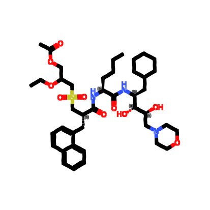 CCCC[C@H](NC(=O)[C@H](Cc1cccc2ccccc12)CS(=O)(=O)CC(COC(C)=O)OCC)C(=O)N[C@@H](CC1CCCCC1)[C@@H](O)[C@@H](O)CN1CCOCC1